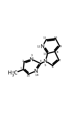 Cc1cnc(-n2ccc3cccnc32)nc1